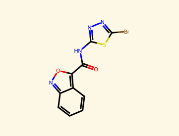 O=C(Nc1nnc(Br)s1)c1onc2ccccc12